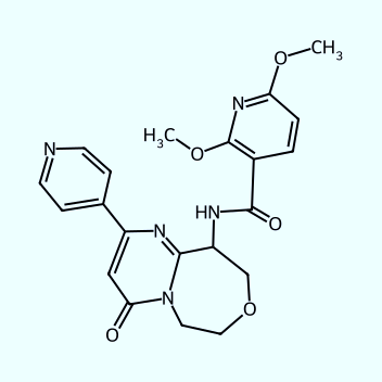 COc1ccc(C(=O)NC2COCCn3c2nc(-c2ccncc2)cc3=O)c(OC)n1